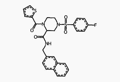 O=C(NCc1ccc2ccccc2c1)C1CN(S(=O)(=O)c2ccc(F)cc2)CCN1C(=O)c1cccs1